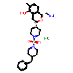 Cc1ccc2c(c1O)C[C@@H](C1CCN(S(=O)(=O)N3CCC(Cc4ccccc4)CC3)CC1)O[C@H]2CN.Cl